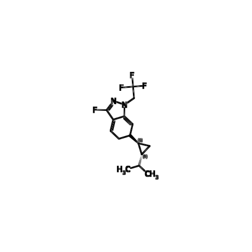 CC(C)[C@H]1C[C@@H]1C1C=c2c(c(F)nn2CC(F)(F)F)=CC1